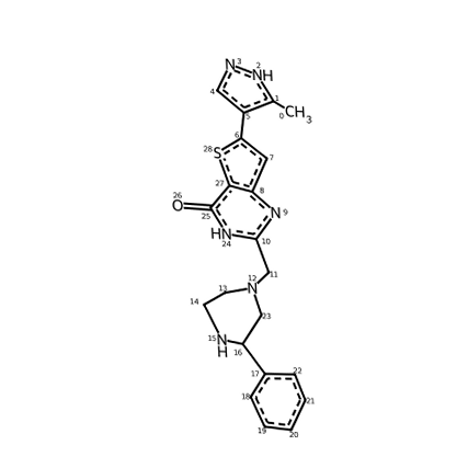 Cc1[nH]ncc1-c1cc2nc(CN3CCNC(c4ccccc4)C3)[nH]c(=O)c2s1